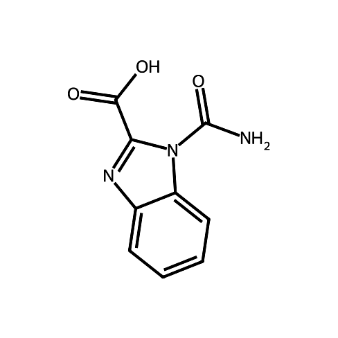 NC(=O)n1c(C(=O)O)nc2ccccc21